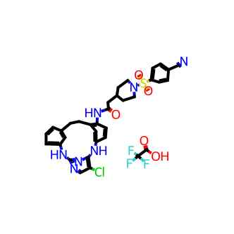 N#Cc1ccc(S(=O)(=O)N2CCC(CC(=O)Nc3ccc4cc3CCc3cccc(c3)Nc3ncc(Cl)c(n3)N4)CC2)cc1.O=C(O)C(F)(F)F